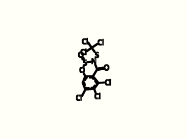 O=C1c2c(cc(Cl)c(Cl)c2Cl)OS(=O)N1SC(Cl)(Cl)Cl